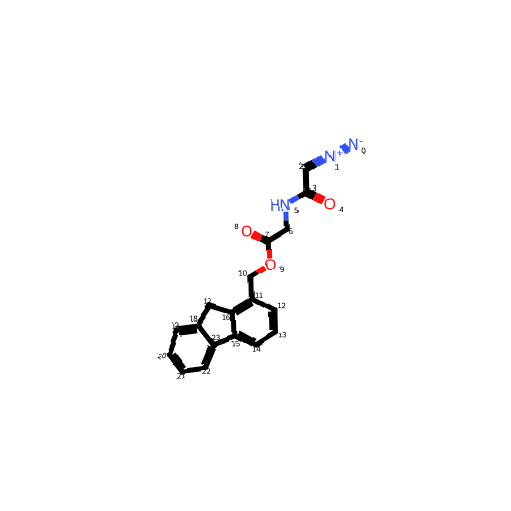 [N-]=[N+]=CC(=O)NCC(=O)OCc1cccc2c1Cc1ccccc1-2